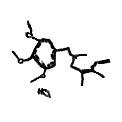 C=CC(C)=C(C)CN(C)Cc1cc(OC)c(OC)c(OC)c1.Cl